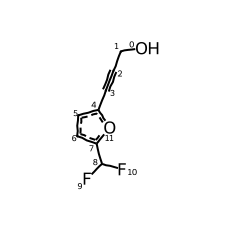 OCC#Cc1ccc(C(F)F)o1